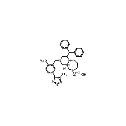 COc1ccc(-n2nnnc2C(F)(F)F)cc1CN1CC(C(c2ccccc2)c2ccccc2)N2CCCN(C(C)=O)C[C@H]2C1.Cl.Cl